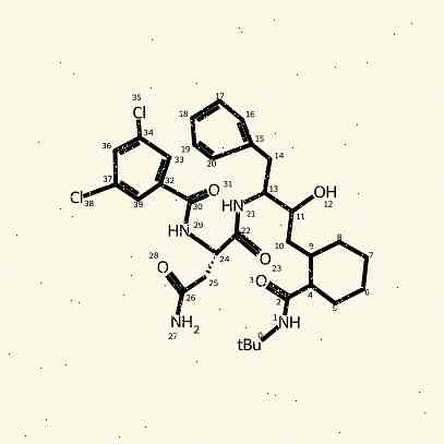 CC(C)(C)NC(=O)C1CCCCC1CC(O)C(Cc1ccccc1)NC(=O)[C@H](CC(N)=O)NC(=O)c1cc(Cl)cc(Cl)c1